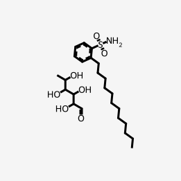 CC(O)C(O)C(O)C(O)C=O.CCCCCCCCCCCCc1ccccc1S(N)(=O)=O